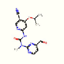 CC(C)Oc1cc(NC(=O)N(C)c2nccc(C=O)n2)ncc1C#N